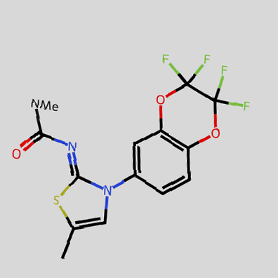 CNC(=O)/N=c1\sc(C)cn1-c1ccc2c(c1)OC(F)(F)C(F)(F)O2